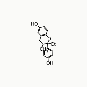 CC[C@]1(c2ccc(O)cc2)Oc2ccc(O)cc2C[C@@H]1C